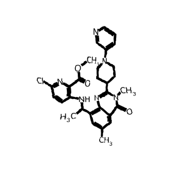 COC(=O)c1nc(Cl)ccc1NC(C)c1cc(C)cc2c(=O)n(C)c(C3CCN(c4cccnc4)CC3)nc12